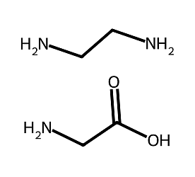 NCC(=O)O.NCCN